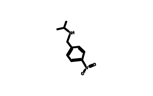 CC(C)NCc1ccc([N+](=O)[O-])cc1